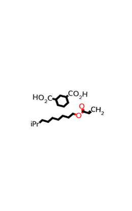 C=CC(=O)OCCCCCCCC(C)C.O=C(O)C1CCCC(C(=O)O)C1